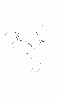 c1ccc(ON2Sc3ccccc3OCC2c2ncco2)cc1